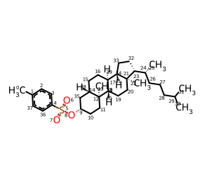 Cc1ccc(S(=O)(=O)O[C@H]2CC[C@@]3(C)[C@@H](CC[C@@H]4[C@@H]3CC[C@]3(C)[C@@H]([C@H](C)CCCC(C)C)CC[C@@H]43)C2)cc1